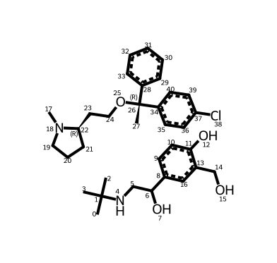 CC(C)(C)NCC(O)c1ccc(O)c(CO)c1.CN1CCC[C@@H]1CCO[C@](C)(c1ccccc1)c1ccc(Cl)cc1